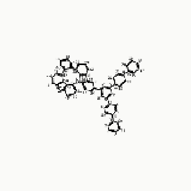 c1ccc(-c2ccc(-c3cc(-c4ccc(-c5ccccc5)cc4)cc(-c4ccc5c(c4)c4cccc6c7ccccc7c7cccc8sc9cccc(c9c87)n5c64)c3)cc2)cc1